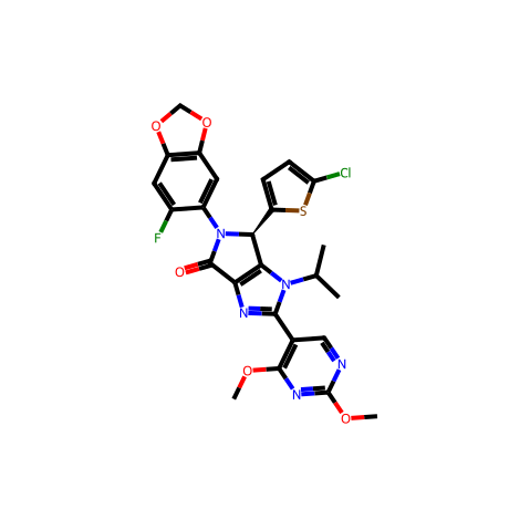 COc1ncc(-c2nc3c(n2C(C)C)[C@H](c2ccc(Cl)s2)N(c2cc4c(cc2F)OCO4)C3=O)c(OC)n1